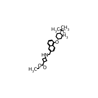 CCOC(=O)C1CC(NCc2ccc3c(O[C@H]4CC[C@H](C(C)(C)C)CC4)cccc3c2)C1